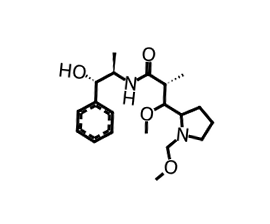 COCN1CCCC1C(OC)[C@@H](C)C(=O)N[C@H](C)[C@@H](O)c1ccccc1